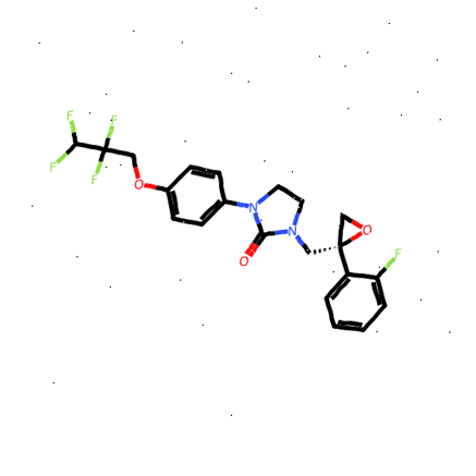 O=C1N(C[C@]2(c3ccccc3F)CO2)CCN1c1ccc(OCC(F)(F)C(F)F)cc1